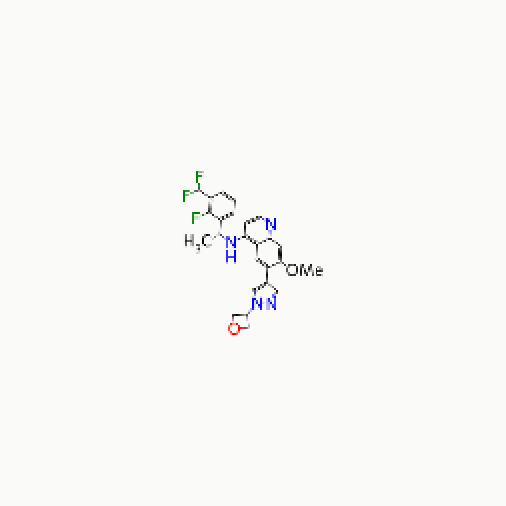 COc1cc2nccc(N[C@H](C)c3cccc(C(F)F)c3F)c2cc1-c1cnn(C2COC2)c1